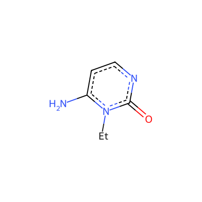 CCn1c(N)ccnc1=O